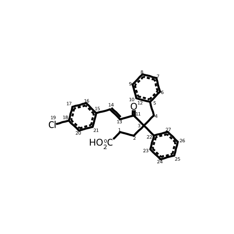 O=C(O)CCC(Cc1ccccc1)(C(=O)C=Cc1ccc(Cl)cc1)c1ccccc1